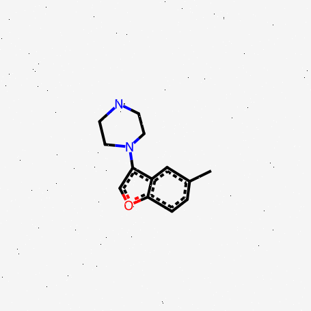 Cc1ccc2occ(N3CC[N]CC3)c2c1